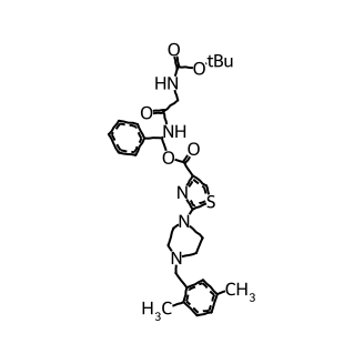 Cc1ccc(C)c(CN2CCN(c3nc(C(=O)OC(NC(=O)CNC(=O)OC(C)(C)C)c4ccccc4)cs3)CC2)c1